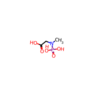 CN(CC(=O)O)P(=O)(O)O